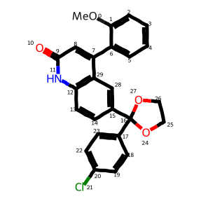 COc1ccccc1-c1cc(=O)[nH]c2ccc(C3(c4ccc(Cl)cc4)OCCO3)cc12